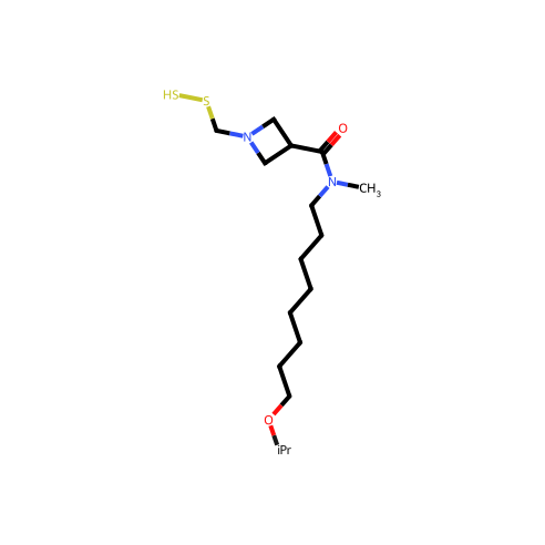 CC(C)OCCCCCCCCN(C)C(=O)C1CN(CSS)C1